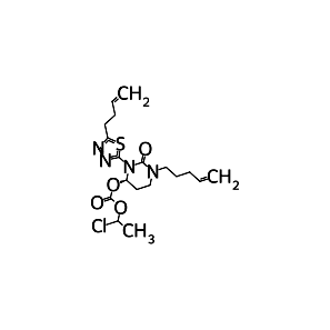 C=CCCCN1CC[C@@H](OC(=O)OC(C)Cl)N(c2nnc(CCC=C)s2)C1=O